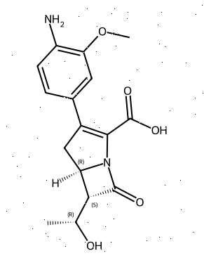 COc1cc(C2=C(C(=O)O)N3C(=O)[C@H]([C@@H](C)O)[C@H]3C2)ccc1N